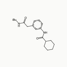 CCC(C)NC(=O)Cc1cccc(NC(=O)C2CCCCC2)c1